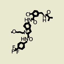 COCCCn1c(C(=O)NCc2ccc(C(F)(F)F)cc2)cc2cc(NC(=O)c3cc(CNC(=O)C(C)C)ccc3Cl)ccc21